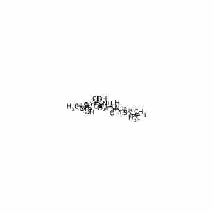 CCOP(=O)(O)OCC(C)(C)C(O)C(=O)NCCC(=O)NCCSCCC(C)C